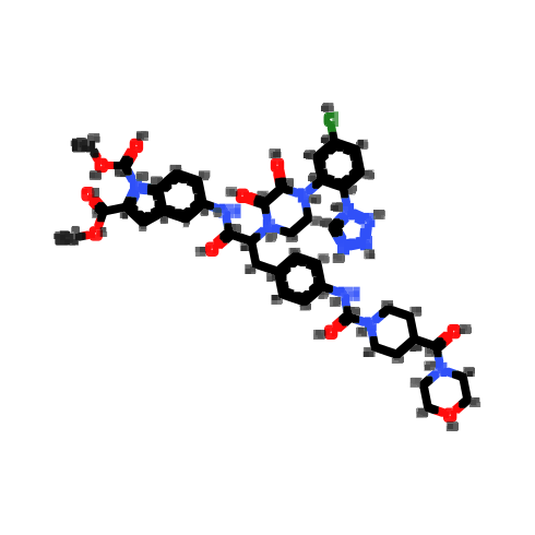 CC(C)(C)OC(=O)c1cc2cc(NC(=O)C(Cc3ccc(NC(=O)N4CCC(C(=O)N5CCOCC5)CC4)cc3)N3CCN(c4cc(Cl)ccc4-n4cnnn4)C(=O)C3=O)ccc2n1C(=O)OC(C)(C)C